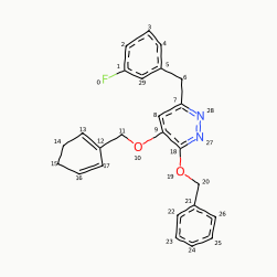 Fc1cccc(Cc2cc(OCC3=CCCC=C3)c(OCc3ccccc3)nn2)c1